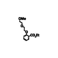 CCOC(=O)c1ccccc1OCCOCCOC